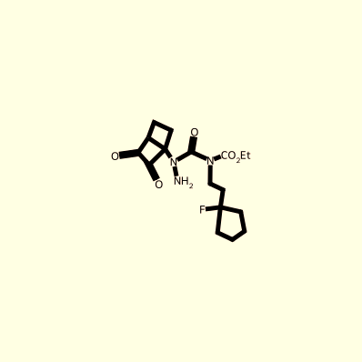 CCOC(=O)N(CCC1(F)CCCC1)C(=O)N(N)C12CCC1C(=O)C2=O